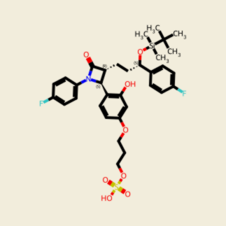 CC(C)(C)[Si](C)(C)O[C@@H](CC[C@H]1C(=O)N(c2ccc(F)cc2)[C@@H]1c1ccc(OCCCOS(=O)(=O)O)cc1O)c1ccc(F)cc1